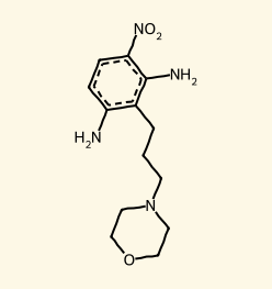 Nc1ccc([N+](=O)[O-])c(N)c1CCCN1CCOCC1